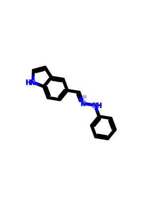 C(=N\Nc1ccccc1)/c1ccc2[nH]ccc2c1